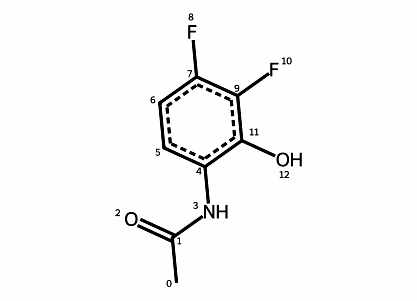 CC(=O)Nc1ccc(F)c(F)c1O